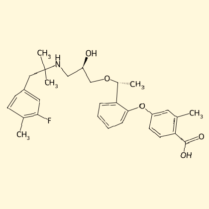 Cc1ccc(CC(C)(C)NC[C@@H](O)CO[C@H](C)c2ccccc2Oc2ccc(C(=O)O)c(C)c2)cc1F